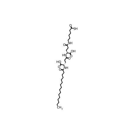 CCCCCCCCCCCCCCCC(=O)N[C@@H](CCC(=O)N[C@@H](CCC(=O)NCCCCCC(=O)S)C(=O)O)C(=O)O